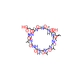 C/C=C/C[C@@H](C)[C@@H](O)[C@H]1C(=O)N[C@@H](CC)C(=O)N(C)[C@H](C)C(=O)N(C)[C@@H]([C@H](C)CCC(=O)O)C(=O)N[C@@H](C(C)C)C(=O)N(C)[C@@H](CC(C)C)C(=O)N[C@@H](C)C(=O)N[C@H](C)C(=O)N(C)[C@@H](CC(C)C)C(=O)N(C)[C@@H](CC(C)C)C(=O)N(C)[C@@H](C(C)C)C(=O)N1C